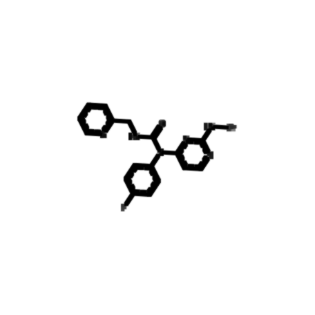 CC(C)Nc1nccc(N(C(=O)NCc2ccccn2)c2ccc(F)cc2)n1